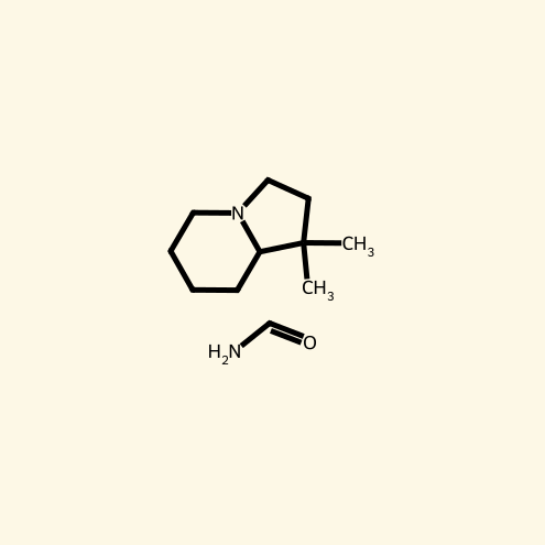 CC1(C)CCN2CCCCC21.NC=O